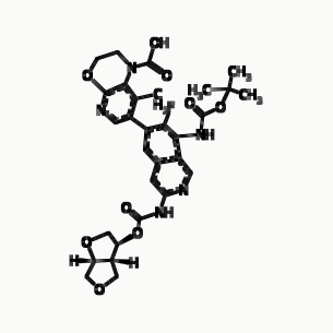 Cc1c(-c2cc3cc(NC(=O)O[C@@H]4CO[C@H]5COC[C@H]54)ncc3c(NC(=O)OC(C)(C)C)c2F)cnc2c1N(C(=O)O)CCO2